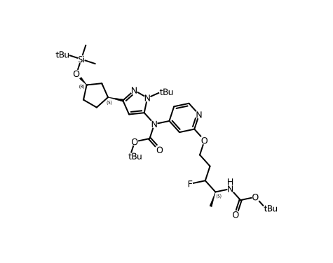 C[C@H](NC(=O)OC(C)(C)C)C(F)CCOc1cc(N(C(=O)OC(C)(C)C)c2cc([C@H]3CC[C@@H](O[Si](C)(C)C(C)(C)C)C3)nn2C(C)(C)C)ccn1